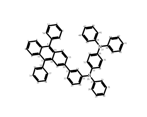 c1ccc(-c2c3ccccc3c(-c3ccccc3)c3cc(-c4cccc(N(c5ccccc5)c5ccc(N(c6ccccc6)c6ccccc6)cc5)c4)ccc23)cc1